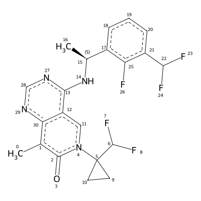 Cc1c(=O)n(C2(C(F)F)CC2)cc2c(N[C@@H](C)c3cccc(C(F)F)c3F)ncnc12